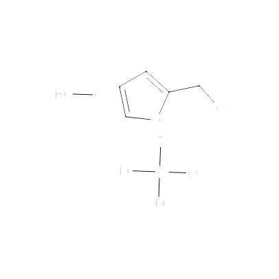 CC[P+](CC)(CC)CC.O=C[O-].OCc1ccco1